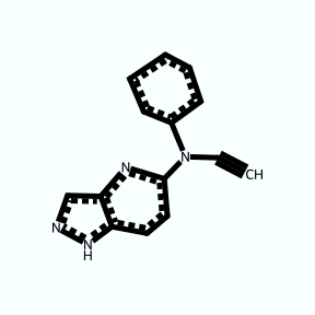 C#CN(c1ccccc1)c1ccc2[nH]ncc2n1